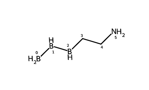 BBBCCN